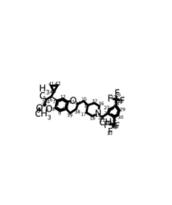 COC(=O)[C@@H](C)[C@H](c1ccc2c(c1)OC(CC1CCN([C@H](C)c3cc(C(F)(F)F)ccc3C(F)(F)F)CC1)CC2)C1CC1